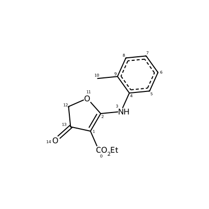 CCOC(=O)C1=C(Nc2ccccc2C)OCC1=O